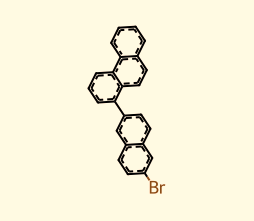 Brc1ccc2cc(-c3cccc4c3ccc3ccccc34)ccc2c1